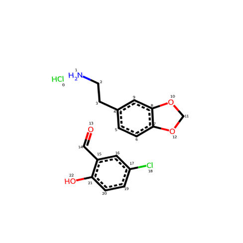 Cl.NCCc1ccc2c(c1)OCO2.O=Cc1cc(Cl)ccc1O